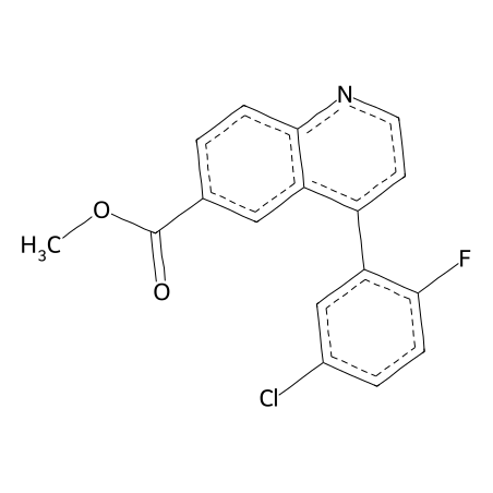 COC(=O)c1ccc2nccc(-c3cc(Cl)ccc3F)c2c1